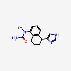 CC(C)N(C(N)=O)c1cccc2c1CCCC2c1c[nH]cn1